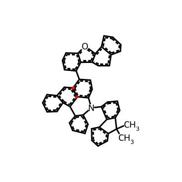 CC1(C)c2ccccc2-c2c(N(c3ccc(-c4cccc5oc6c7ccccc7ccc6c45)cc3)c3ccccc3-c3cccc4ccccc34)cccc21